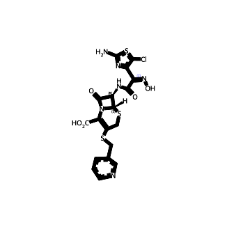 Nc1nc(/C(=N/O)C(=O)N[C@@H]2C(=O)N3C(C(=O)O)=C(SCc4cccnc4)CS[C@@H]23)c(Cl)s1